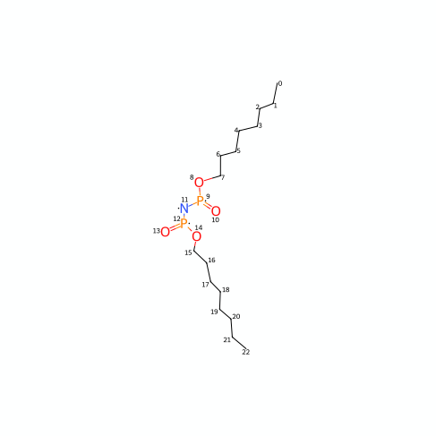 CCCCCCCCO[P](=O)[N][P](=O)OCCCCCCCC